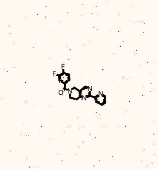 O=C(c1ccc(F)c(F)c1)N1CCc2nc(-c3ccccn3)ncc2C1